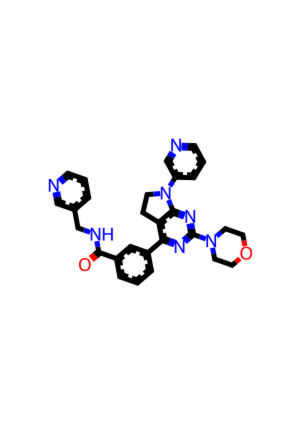 O=C(NCc1cccnc1)c1cccc(-c2nc(N3CCOCC3)nc3c2CCN3c2cccnc2)c1